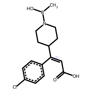 CB(O)N1CCC(/C(=C/C(=O)O)c2ccc(Cl)cc2)CC1